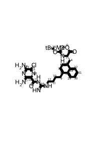 COC(=O)[C@H](Cc1ccc(CCCCNC(=N)NC(=O)c2nc(Cl)c(N)nc2N)c2ccccc12)NC(=O)OC(C)(C)C